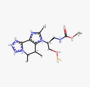 CCc1nc2c(n1[C@@H](CNC(=O)OC(C)(C)C)COP)C(C)C(C)n1nnnc1-2